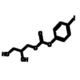 O=C(OCC(O)CO)Oc1ccc(I)cc1